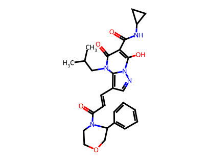 CC(C)Cn1c(=O)c(C(=O)NC2CC2)c(O)n2ncc(C=CC(=O)N3CCOCC3c3ccccc3)c12